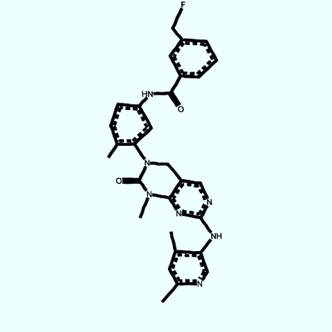 Cc1cc(C)c(Nc2ncc3c(n2)N(C)C(=O)N(c2cc(NC(=O)c4cccc(CF)c4)ccc2C)C3)cn1